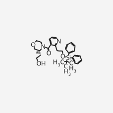 CC(C)(C)[Si](OCCc1ncccc1C(=O)N1CCOC[C@H]1CCO)(c1ccccc1)c1ccccc1